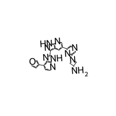 NC1CN(c2cncc(-c3cnc4[nH]nc(-c5nc6c(-c7ccoc7)ccnc6[nH]5)c4c3)n2)C1